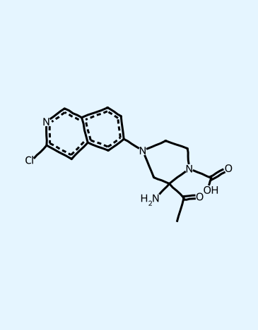 CC(=O)C1(N)CN(c2ccc3cnc(Cl)cc3c2)CCN1C(=O)O